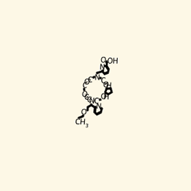 CCCOCCC(c1ccccn1)N1CCOCCOCCN(Cc2cccc(C(=O)O)n2)CCO[C@@H]2CCC[C@@H]2OCC1